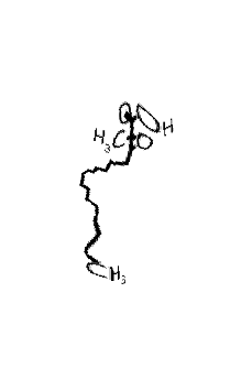 CCCCCCCC/C=C\CCCCCC1OC1(C)C(=O)O